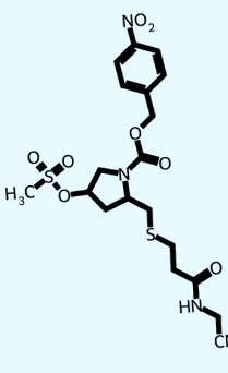 CS(=O)(=O)OC1CC(CSCCC(=O)NCC#N)N(C(=O)OCc2ccc([N+](=O)[O-])cc2)C1